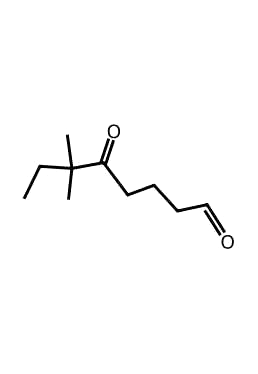 CCC(C)(C)C(=O)CCCC=O